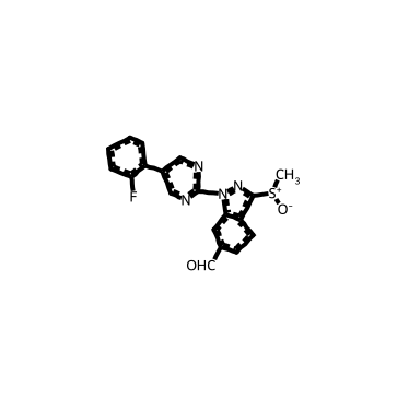 C[S+]([O-])c1nn(-c2ncc(-c3ccccc3F)cn2)c2cc(C=O)ccc12